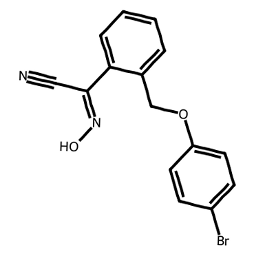 N#CC(=NO)c1ccccc1COc1ccc(Br)cc1